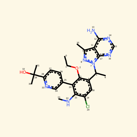 CCOc1c(C(C)n2nc(C)c3c(N)ncnc32)cc(Cl)c(NC)c1-c1ccc(C(C)(C)O)nc1